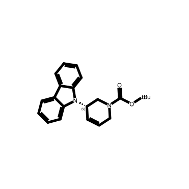 CC(C)(C)OC(=O)N1CC=C[C@H](n2c3ccccc3c3ccccc32)C1